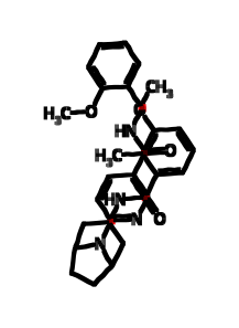 COc1ccccc1CNC(=O)c1ccc(N2C3CCC2CC(NC(=O)c2cccc(OC)c2C)C3)nc1